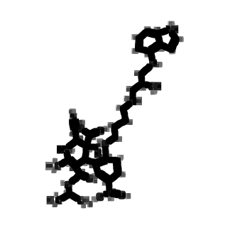 CC1=C(C(=O)OC(C)C)C(c2cc([N+](=O)[O-])ccc2OCCCCNCC(O)COc2cccc3[nH]ccc23)C(C)(C(=O)O)C(C#N)N1